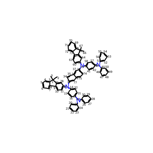 CC1(C)c2ccccc2-c2ccc(N(c3ccc(N(c4ccccc4)c4ccccc4)cc3)c3ccc4cc(N(c5ccc(N(c6ccccc6)c6ccccc6)cc5)c5ccc6c(c5)C(C)(C)c5ccccc5-6)ccc4c3)cc21